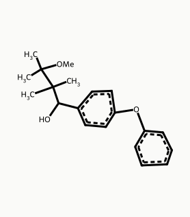 COC(C)(C)C(C)(C)C(O)c1ccc(Oc2ccccc2)cc1